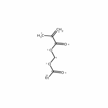 C=C(C)C(=O)OCOC(=O)CC